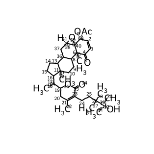 CC(=O)O[C@@H]1C=CC(=O)[C@]2(C)C3CC[C@@]4(C)C(CCC4[C@H](C)C4CC(C)=C(CCC(C)(C)[Si](C)(C)O)C(=O)O4)C3C[C@H]3O[C@]132